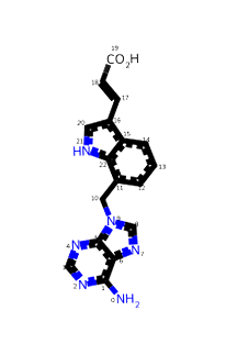 Nc1ncnc2c1ncn2Cc1cccc2c(C=CC(=O)O)c[nH]c12